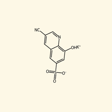 N#Cc1cnc2c(O)cc(S(=O)(=O)[O-])cc2c1.[K+]